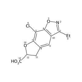 CCc1noc2c(Cl)c3c(cc12)CC(C(=O)O)O3